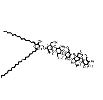 CCCCCCCCCCCCC/C=C/[C@@H](O)[C@H](CO[C@@H]1OC(CO)[C@@H](O[C@@H]2OC(CO)[C@H](O[C@@H]3OC(CO)[C@H](O)[C@H](O[C@@H]4OC(CO)[C@H](O)[C@H](O[C@@H]5OC(CO)[C@H](O)[C@H](O)C5O)C4NC(C)=O)C3O)[C@H](O)C2O)[C@H](O)C1O)NC(=O)CCCCCCCCCCCCCCCCCCCCC